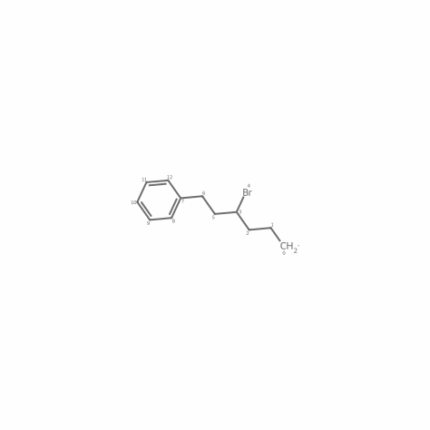 [CH2]CCC(Br)CCc1ccccc1